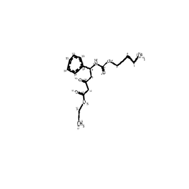 CCCCOC(=O)NC(CC(=O)CC(=O)OCC)c1ccccc1